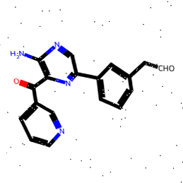 Nc1ncc(-c2cccc(CC=O)c2)nc1C(=O)c1cccnc1